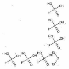 CCOCC.O=P(O)(O)F.O=P(O)(O)F.O=P(O)(O)F.O=P(O)(O)F.O=P(O)(O)F.O=P(O)(O)F